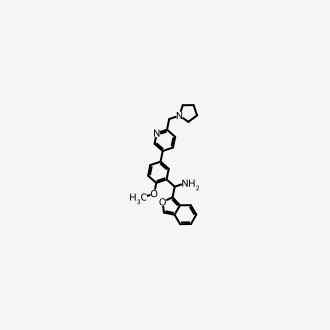 COc1ccc(-c2ccc(CN3CCCC3)nc2)cc1C(N)c1occ2ccccc12